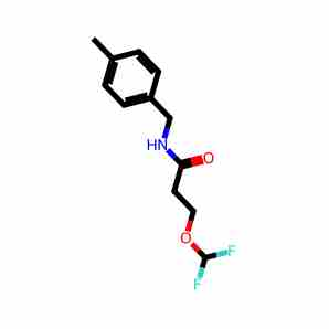 Cc1ccc(CNC(=O)CCOC(F)F)cc1